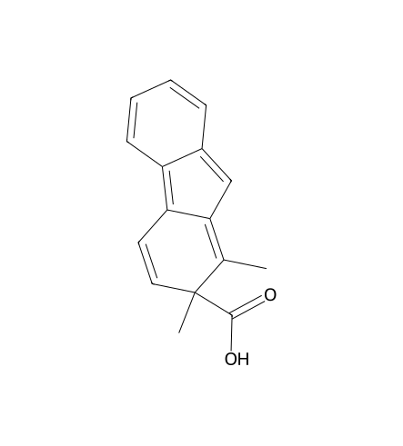 CC1=C2C=c3ccccc3=C2C=CC1(C)C(=O)O